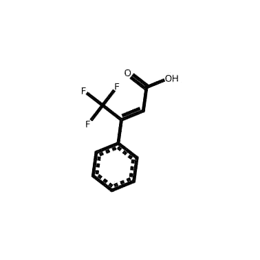 O=C(O)C=C(c1ccccc1)C(F)(F)F